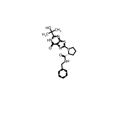 CC(C)(O)c1nc2sc(N3CCC[C@@H]3C(=O)NCc3ccccc3)nc2c(=O)[nH]1